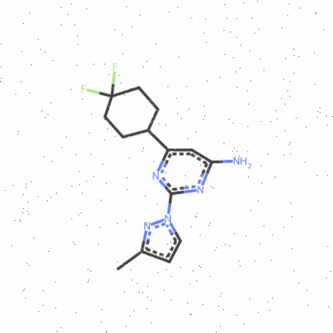 Cc1ccn(-c2nc(N)cc(C3CCC(F)(F)CC3)n2)n1